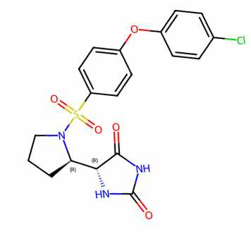 O=C1NC(=O)[C@@H]([C@H]2CCCN2S(=O)(=O)c2ccc(Oc3ccc(Cl)cc3)cc2)N1